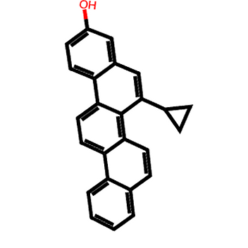 Oc1ccc2c(c1)cc(C1CC1)c1c2ccc2c3ccccc3ccc21